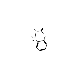 CCP1(=O)c2ccccc2NC(=O)N1C(C)C